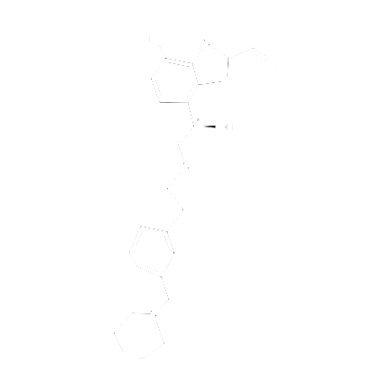 O=CC1Nc2c(O)ccc([C@@H](O)CNCCc3cccc(CN4CCOCC4)c3)c2S1